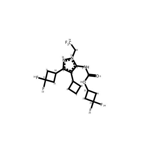 O=C(Nc1c(C2CCC2)c(C2CC(F)(F)C2)nn1CC(F)(F)F)OC1CC(F)(F)C1